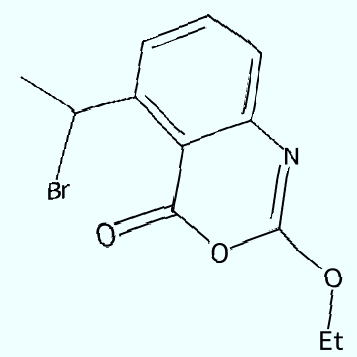 CCOc1nc2cccc(C(C)Br)c2c(=O)o1